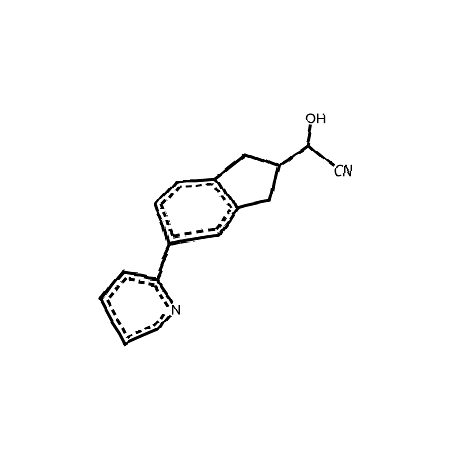 N#CC(O)C1Cc2ccc(-c3ccccn3)cc2C1